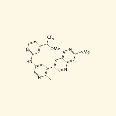 CNc1cc2ncc(-c3cc(Nc4cc(C(OC)C(F)(F)F)ccn4)cnc3C)cc2cn1